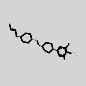 C/C=C/C[C@H]1CC[C@H](CC[C@H]2CC[C@H](c3cc(F)c(C(F)(F)F)c(F)c3)CC2)CC1